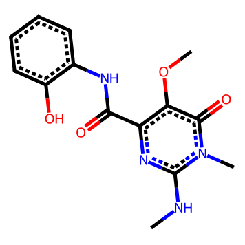 CNc1nc(C(=O)Nc2ccccc2O)c(OC)c(=O)n1C